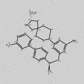 Nc1nc(O[C@H](c2ccc(-c3cccc(C(F)(F)F)c3)cc2)C(F)(F)F)cc(N2CCC3(CC2)CN[C@H](C(=O)O)C3)n1